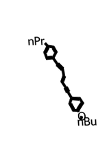 CCCCOc1ccc(C#C/C=C/C#Cc2ccc(CCC)cc2)cc1